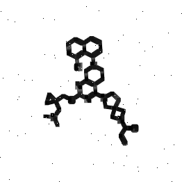 C=CC(=O)N1CC2(CCN(c3nc(OCC4(CN(C)C)CC4)nc4c3CCN(c3cccc5cccc(Cl)c35)C4)C2)C1